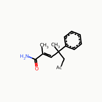 CC(=O)CC(C)(C=C(C)C(N)=O)c1ccccc1